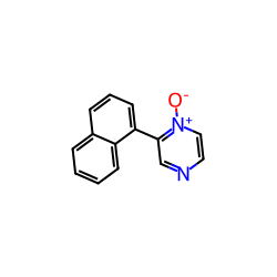 [O-][n+]1ccncc1-c1cccc2ccccc12